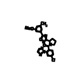 COc1cc(C)cc(-c2nc(C3CCCN3C(=O)c3ccc(Cl)cc3-n3nccn3)no2)c1